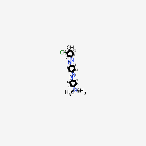 Cc1ccc(N=Nc2ccc(N=Nc3ccc(N(C)C)cc3)cc2)cc1Cl